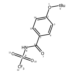 CC(C)(C)Oc1ccc(C(=O)NS(=O)(=O)C(F)(F)F)cc1